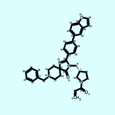 C=CC(=O)N1CC[C@@H](CN2C(=O)C3(CCN(Cc4ccccc4)CC3)N=C2c2ccc(-c3ccc4occc4c3)cc2)C1